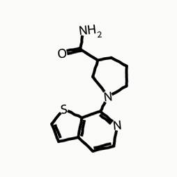 NC(=O)C1CCCN(c2nccc3ccsc23)C1